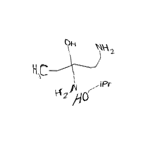 CC(C)O.CC(N)(O)CN